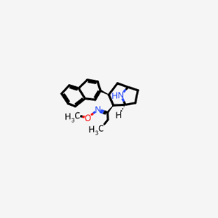 CCC(=NOC)[C@@H]1[C@@H]2CCC(C[C@@H]1c1ccc3ccccc3c1)N2